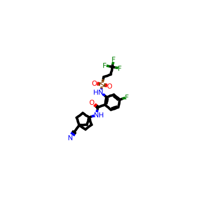 N#CC12CCC(NC(=O)c3ccc(F)cc3NS(=O)(=O)CCC(F)(F)F)(CC1)C2